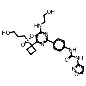 O=C(Nc1ccc(-c2nc(NCCO)cc(C3(S(=O)(=O)CCCO)CCC3)n2)cc1)Nc1ccon1